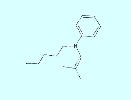 CCCCCN(C=C(C)C)c1ccccc1